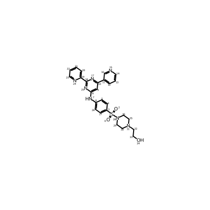 O=S(=O)(c1ccc(Nc2cc(-c3cccnc3)nc(-c3ccccn3)n2)cc1)N1CCN(CCO)CC1